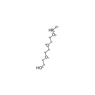 OCCOCCOCCOPI